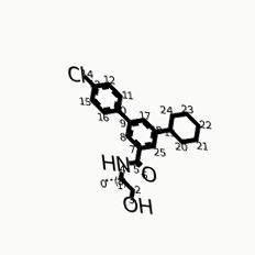 C[C@@H](CO)NC(=O)c1cc(-c2ccc(Cl)cc2)cc(C2CCCCC2)c1